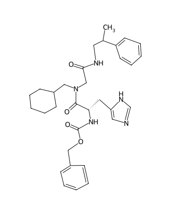 CC(CNC(=O)CN(CC1CCCCC1)C(=O)[C@H](Cc1cnc[nH]1)NC(=O)OCc1ccccc1)c1ccccc1